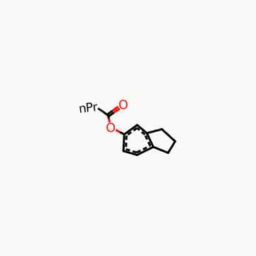 [CH2]CCC(=O)Oc1ccc2c(c1)CCC2